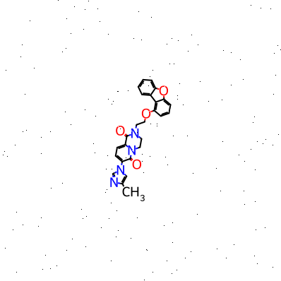 Cc1cn(-c2ccc3n(c2=O)CCN(CCOc2cccc4oc5ccccc5c24)C3=O)cn1